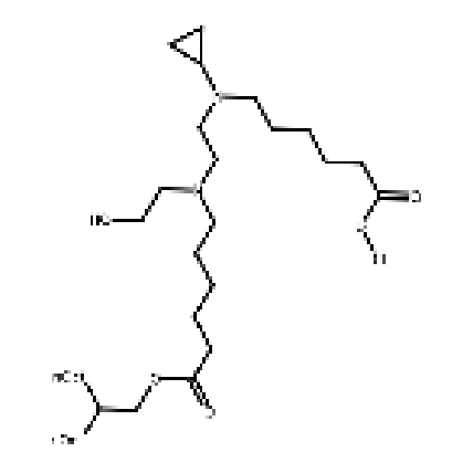 CCCCCCCCC(CCCCCCCC)COC(=O)CCCCCN(CCO)CCN(CCCCCC(=O)OCl)C1CC1